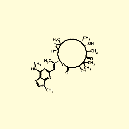 CNc1nc(/C=C(\C)[C@@H]2C[C@@H]3O[C@]3(C)CCC[C@H](C)[C@H](O)[C@@H](C)C(=O)C(C)(C)[C@@H](O)CC(=O)O2)nc2c1ncn2C